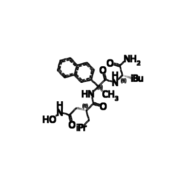 CCC(C)[C@H](NC(=O)[C@@](C)(NC(=O)[C@@H](CC(=O)NO)CC(C)C)c1ccc2ccccc2c1)C(N)=O